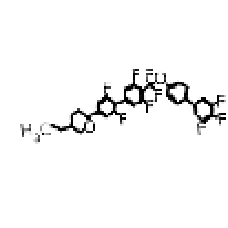 CCCC1CCC(c2cc(F)c(-c3cc(F)c(C(F)(F)Oc4ccc(-c5cc(F)c(F)c(F)c5)cc4)c(F)c3)c(F)c2)OC1